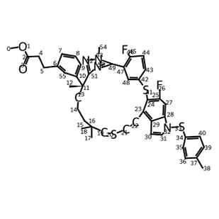 COC(=O)CCc1cccc([C@@]2(C)CCCC(C)(C)CSCCc3c(c(F)cc4c3ccn4Sc3ccc(C)cc3)Sc3ccc(F)c(c3)-c3nc2nn3C)c1